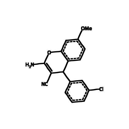 COc1ccc2c(c1)OC(N)=C(C#N)C2c1cccc(Cl)c1